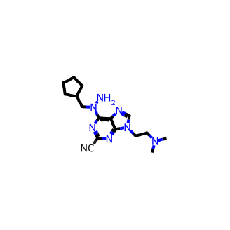 CN(C)CCn1cnc2c(N(N)CC3CCCC3)nc(C#N)nc21